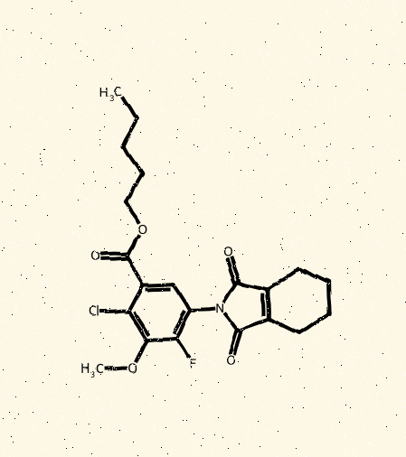 CCCCCOC(=O)c1cc(N2C(=O)C3=C(CCCC3)C2=O)c(F)c(OC)c1Cl